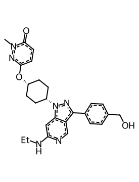 CCNc1cc2c(cn1)c(-c1ccc(CO)cc1)nn2[C@H]1CC[C@@H](Oc2ccc(=O)n(C)n2)CC1